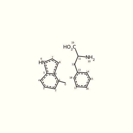 Cc1cccc2[nH]ccc12.NC(Cc1ccccc1)C(=O)O